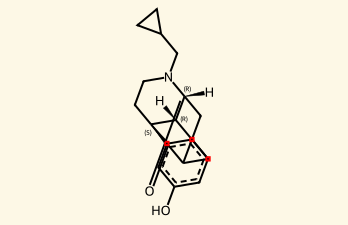 O=C1C[C@]23CCN(CC4CC4)[C@H](Cc4ccc(O)cc42)[C@@H]3C2CC12